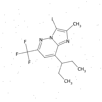 CCC(CC)c1cc(C(F)(F)F)nn2c(I)c(C)nc12